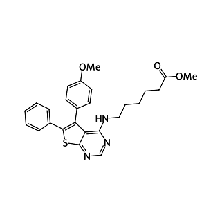 COC(=O)CCCCCNc1ncnc2sc(-c3ccccc3)c(-c3ccc(OC)cc3)c12